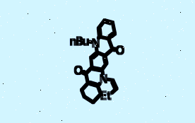 CC/C=C\n1c2c(c(=O)c3cc4c(cc31)c(=O)c1ccccc1n4CCCC)CCCC2